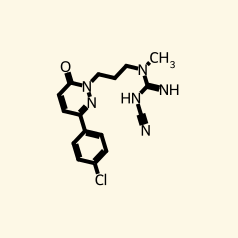 CN(CCCn1nc(-c2ccc(Cl)cc2)ccc1=O)C(=N)NC#N